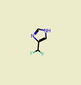 FC(F)c1c[nH]cn1